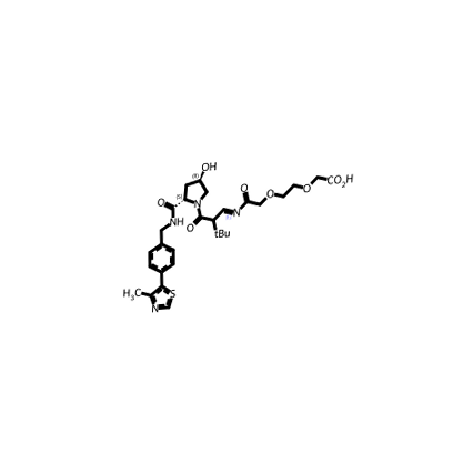 Cc1ncsc1-c1ccc(CNC(=O)[C@@H]2C[C@@H](O)CN2C(=O)C(/C=N/C(=O)COCCOCC(=O)O)C(C)(C)C)cc1